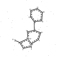 Ic1cnc2ccc(-c3ccccc3)cn12